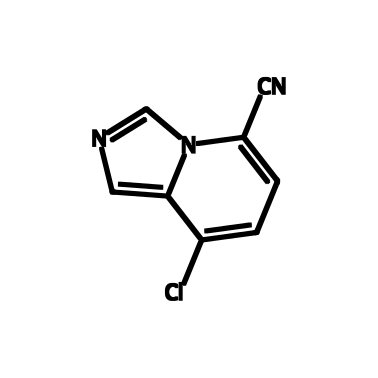 N#Cc1ccc(Cl)c2cncn12